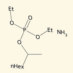 CCCCCCC(C)OP(=O)(OCC)OCC.N